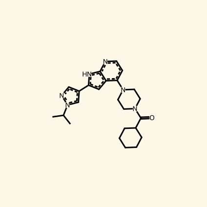 CC(C)n1cc(-c2cc3c(N4CCN(C(=O)C5CCCCC5)CC4)ccnc3[nH]2)cn1